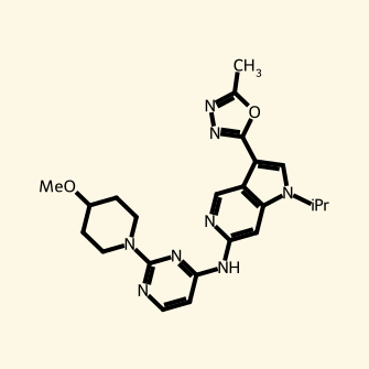 COC1CCN(c2nccc(Nc3cc4c(cn3)c(-c3nnc(C)o3)cn4C(C)C)n2)CC1